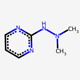 CN(C)Nc1ncccn1